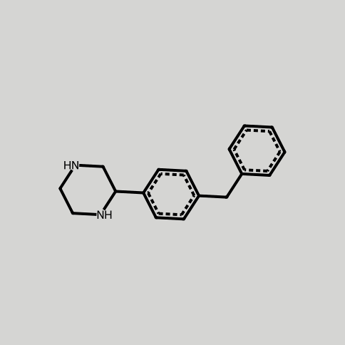 c1ccc(Cc2ccc(C3CNCCN3)cc2)cc1